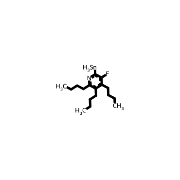 CCCCc1n[c]([SnH3])c(F)c(CCCC)c1CCCC